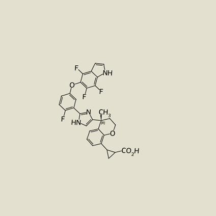 C[C@@]1(c2c[nH]c(-c3cc(Oc4c(F)c(F)c5[nH]ccc5c4F)ccc3F)n2)CCOc2c(C3CC3C(=O)O)cccc21